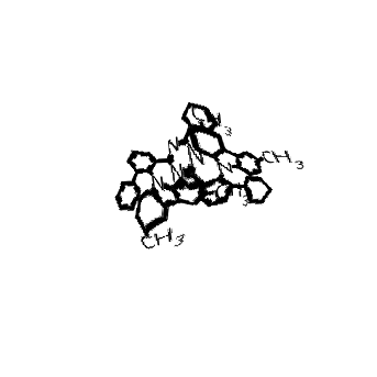 CC1=CC2c3cc(C)ccc3N(c3c(C4=CCCC=C4)cccc3-c3nc(C4=CC=CCC4)nc(-c4cccc(-c5ccccc5)c4-n4c5c(c6cc(C)ccc64)C=C(C)CC5)n3)C2C=C1